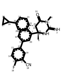 CN1C(=N)N[C@](C)(c2cccc(-c3ccc(F)c(C#N)c3)c2)[C@H](c2ccc(C3CC3)cc2)C1=O